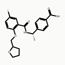 C[C@H](NC(=O)c1cc(I)ccc1OCC1CCCO1)c1ccc(C(=O)O)cc1